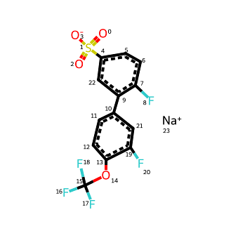 O=S(=O)([O-])c1ccc(F)c(-c2ccc(OC(F)(F)F)c(F)c2)c1.[Na+]